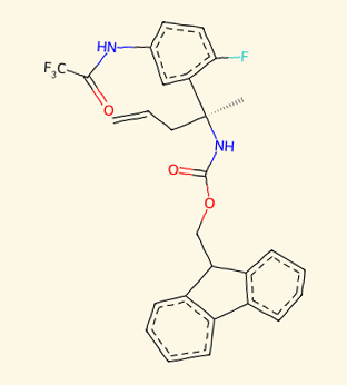 C=CC[C@](C)(NC(=O)OCC1c2ccccc2-c2ccccc21)c1cc(NC(=O)C(F)(F)F)ccc1F